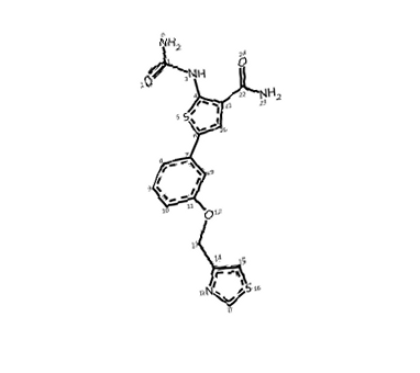 NC(=O)Nc1sc(-c2cccc(OCc3cscn3)c2)cc1C(N)=O